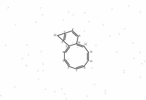 c1ccccc2c3c(ccc2ccc1)C3